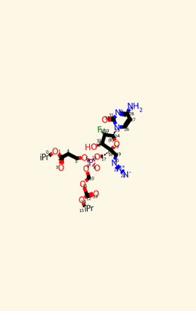 CC(C)OC(=O)CCOP(=O)(OCOC(=O)OC(C)C)OC[C@@]1(CN=[N+]=[N-])O[C@@H](n2ccc(N)nc2=O)[C@H](F)[C@@H]1O